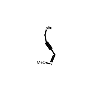 [CH2]CCCCC#C/C=N\OC